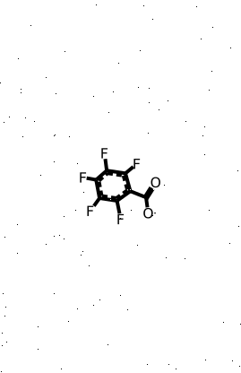 [O]C(=O)c1c(F)c(F)c(F)c(F)c1F